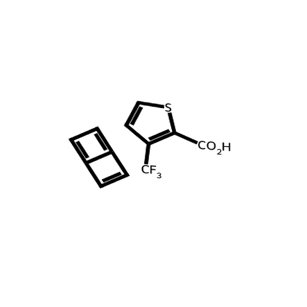 O=C(O)c1sccc1C(F)(F)F.c1cc2ccc1-2